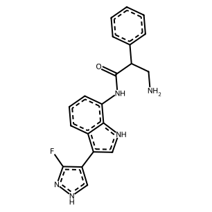 NCC(C(=O)Nc1cccc2c(-c3c[nH]nc3F)c[nH]c12)c1ccccc1